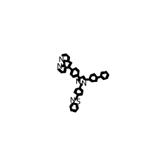 c1ccc(-c2ccc(-c3cc(-c4ccc(-c5cc6cccnc6c6ncccc56)cc4)nc(-c4ccc(-c5nc6ccccc6s5)cc4)n3)cc2)cc1